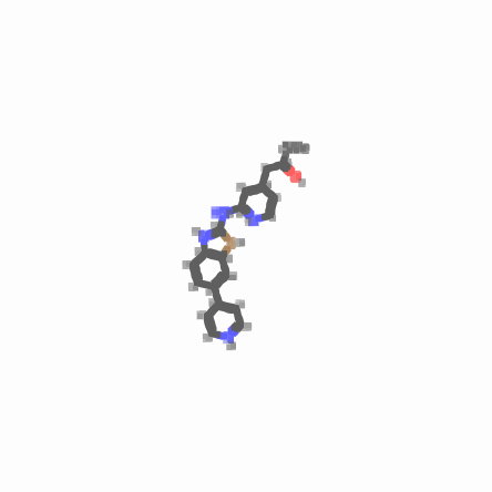 CNC(=O)Cc1ccnc(Nc2nc3ccc(-c4ccncc4)cc3s2)c1